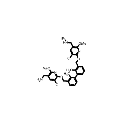 COc1nc(OCc2cccc(-c3cccc(COc4nc(OC)c(CNC(C)C)cc4Cl)c3C)c2C)c(Cl)cc1CN